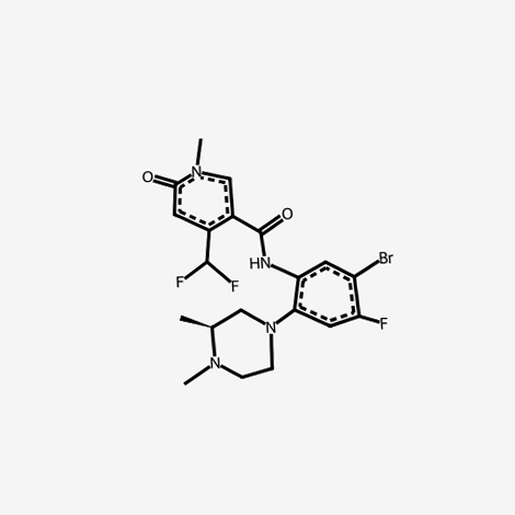 C[C@H]1CN(c2cc(F)c(Br)cc2NC(=O)c2cn(C)c(=O)cc2C(F)F)CCN1C